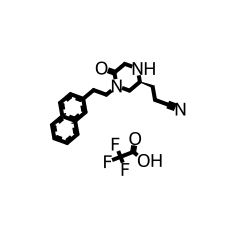 N#CCC[C@H]1CN(CCc2ccc3ccccc3c2)C(=O)CN1.O=C(O)C(F)(F)F